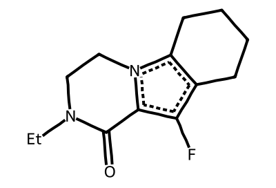 CCN1CCn2c3c(c(F)c2C1=O)CCCC3